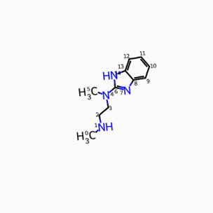 CNCCN(C)c1nc2ccccc2[nH]1